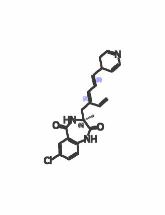 C=C/C(=C\C=C\C1C=CN=CC1)C[C@]1(C)NC(=O)c2cc(Cl)ccc2NC1=O